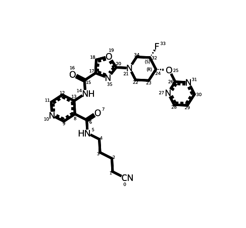 N#CCCCCNC(=O)c1cnccc1NC(=O)c1coc(N2CC[C@@H](Oc3ncccn3)[C@@H](F)C2)n1